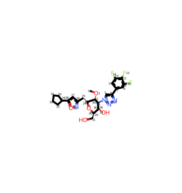 CO[C@@H]1[C@@H](n2cc(-c3cc(F)c(F)c(F)c3)nn2)[C@@H](O)[C@@H](CO)O[C@@H]1Cc1cc(C2CCCC2)on1